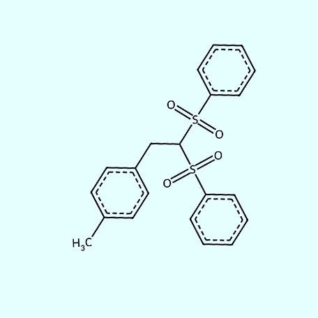 Cc1ccc(CC(S(=O)(=O)c2ccccc2)S(=O)(=O)c2ccccc2)cc1